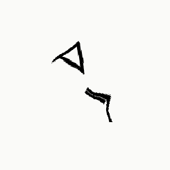 C1CC1.C=CC